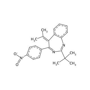 CC(C)=C1C(c2ccc([N+](=O)[O-])cc2)=NC(C(C)(C)C)=Nc2ccccc21